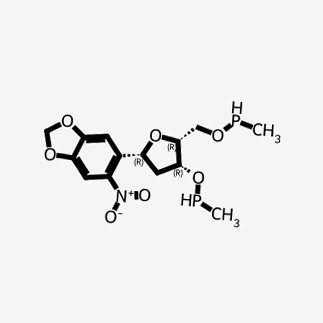 CPOC[C@H]1O[C@@H](c2cc3c(cc2[N+](=O)[O-])OCO3)C[C@H]1OPC